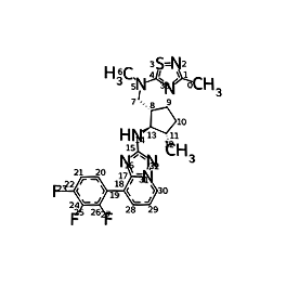 Cc1nsc(N(C)C[C@@H]2CC[C@H](C)[C@H]2Nc2nc3c(-c4ccc(F)c(F)c4F)cccn3n2)n1